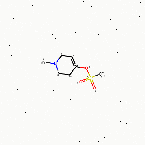 CCCN1CC=C(OS(=O)(=O)C(F)(F)F)CC1